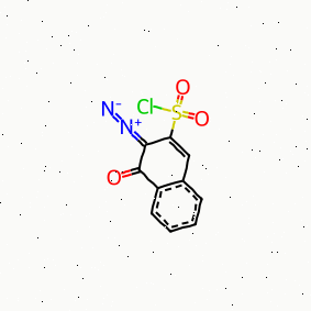 [N-]=[N+]=C1C(=O)c2ccccc2C=C1S(=O)(=O)Cl